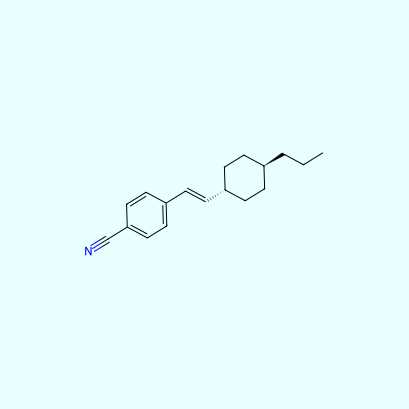 CCC[C@H]1CC[C@H](C=Cc2ccc(C#N)cc2)CC1